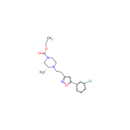 CCOC(=O)N1CCN(CCc2cc(-c3cccc(Cl)c3)on2)[C@H](C)C1